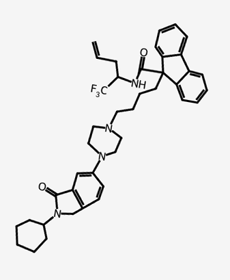 C=CCC(NC(=O)C1(CCCCN2CCN(c3ccc4c(c3)C(=O)N(C3CCCCC3)C4)CC2)c2ccccc2-c2ccccc21)C(F)(F)F